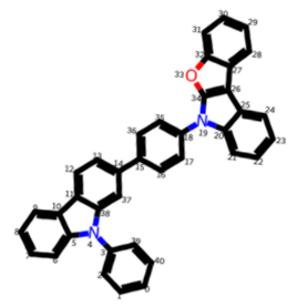 c1ccc(-n2c3ccccc3c3ccc(-c4ccc(-n5c6ccccc6c6c7ccccc7oc65)cc4)cc32)cc1